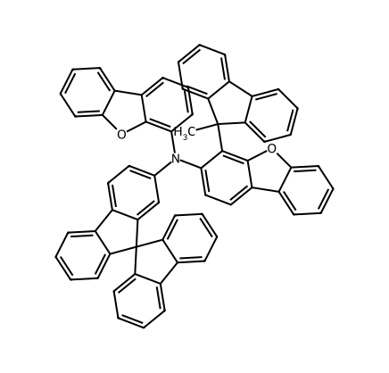 CC1(c2c(N(c3ccc4c(c3)C3(c5ccccc5-c5ccccc53)c3ccccc3-4)c3cccc4c3oc3ccccc34)ccc3c2oc2ccccc23)c2ccccc2-c2ccccc21